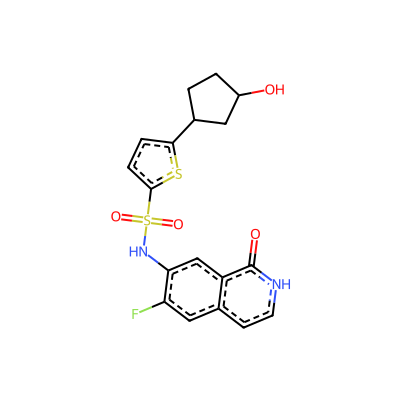 O=c1[nH]ccc2cc(F)c(NS(=O)(=O)c3ccc(C4CCC(O)C4)s3)cc12